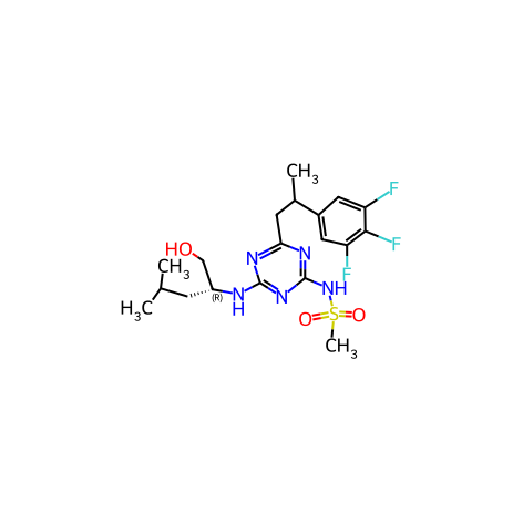 CC(C)C[C@H](CO)Nc1nc(CC(C)c2cc(F)c(F)c(F)c2)nc(NS(C)(=O)=O)n1